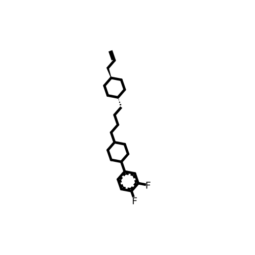 C=CC[C@H]1CC[C@H](CCCCC2CCC(c3ccc(F)c(F)c3)CC2)CC1